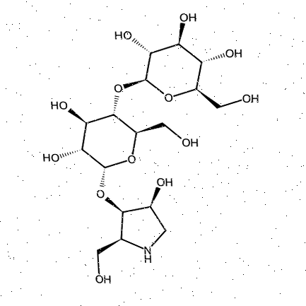 OC[C@@H]1NC[C@H](O)[C@@H]1O[C@H]1O[C@H](CO)[C@@H](O[C@@H]2O[C@H](CO)[C@@H](O)[C@H](O)[C@H]2O)[C@H](O)[C@H]1O